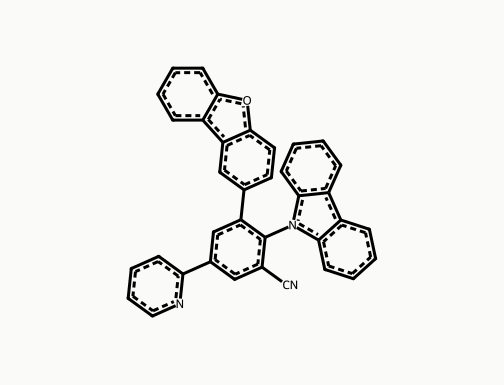 N#Cc1cc(-c2ccccn2)cc(-c2ccc3oc4ccccc4c3c2)c1-n1c2ccccc2c2ccccc21